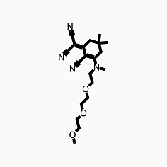 COCCOCCOCCN(C)C1=C(C#N)C(=C(C#N)C#N)CC(C)(C)C1